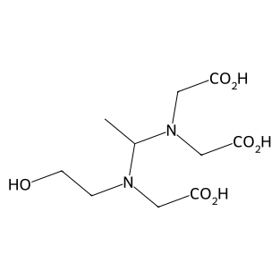 CC(N(CCO)CC(=O)O)N(CC(=O)O)CC(=O)O